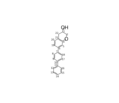 OC1COc2cc(-c3ccc(-c4ccccc4)cc3)ccc2C1